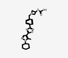 Cc1c(-c2nc(-c3ccc(CN4CC(OC(=O)O)C4)cc3)no2)cnn1C1CCCCC1